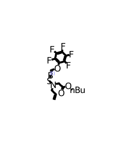 C=CCN(CC(=O)OCCCC)S/B=C/Oc1c(F)c(F)c(F)c(F)c1F